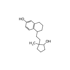 CC1(CCC2CCCc3cc(O)ccc32)CCCC1O